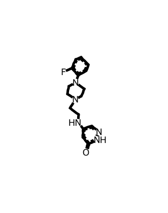 O=c1cc(NCCN2CCN(c3ccccc3F)CC2)cn[nH]1